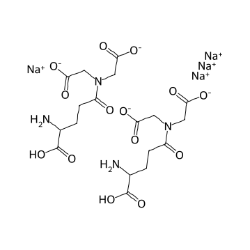 NC(CCC(=O)N(CC(=O)[O-])CC(=O)[O-])C(=O)O.NC(CCC(=O)N(CC(=O)[O-])CC(=O)[O-])C(=O)O.[Na+].[Na+].[Na+].[Na+]